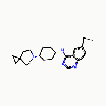 N#CCc1ccc2ncnc(N[C@H]3CC[C@H](N4CCC5(CC4)CC5)CC3)c2c1